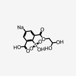 O=C(O)c1c[c]([Na])cc(C(=O)OCC(O)O)c1S(=O)(=O)O